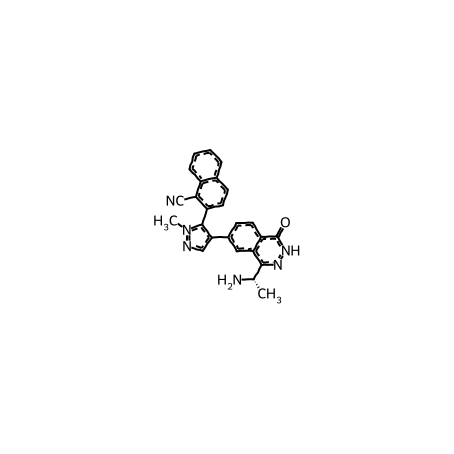 C[C@H](N)c1n[nH]c(=O)c2ccc(-c3cnn(C)c3-c3ccc4ccccc4c3C#N)cc12